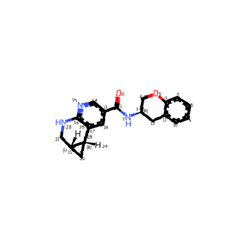 O=C(N[C@H]1COc2ccccc2C1)c1cnc2c(c1)[C@@H]1C[C@@H]1CN2